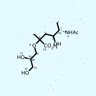 CC(=O)N[C@@H](C)C(O)CC(C)(OC[C@H](O)CO)C(=O)O